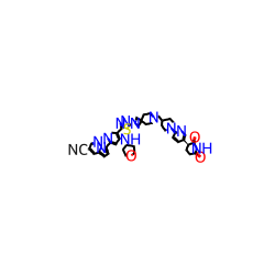 N#Cc1cnn2c(-c3cc(NC4CCOCC4)c(-c4nnc(N5CC6(CCN(CC7CCN(c8ccc([C@@H]9CCC(=O)NC9=O)cn8)CC7)CC6)C5)s4)cn3)ccc2c1